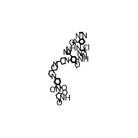 COc1cc(N2CCC(CN3CCC4(CCCN(c5ccc6c(c5)C(=O)N(C5CCC(=O)NC5=O)C6=O)C4)CC3)CC2)c(-c2cnn(C)c2)cc1Nc1ncc(Cl)c(Nc2ccc3nccnc3c2P(C)(C)=O)n1